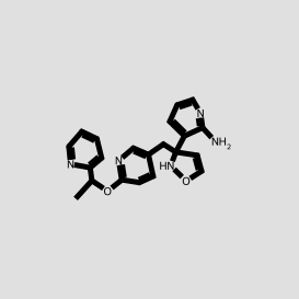 CC(Oc1ccc(CC2(c3cccnc3N)C=CON2)cn1)c1ccccn1